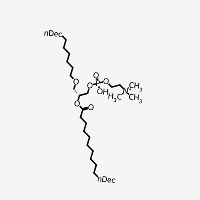 CCCCCCCCCCCCCCCCCCCC(=O)O[C@H](COCCCCCCCCCCCCCCCC)COP(=O)(O)OCC[N+](C)(C)C